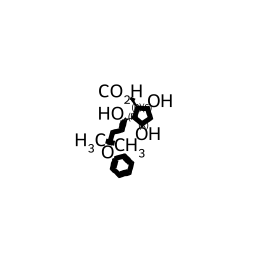 CC(C)(CC=C(O)[C@@H]1[C@@H](CC(=O)O)[C@@H](O)C[C@H]1O)Oc1ccccc1